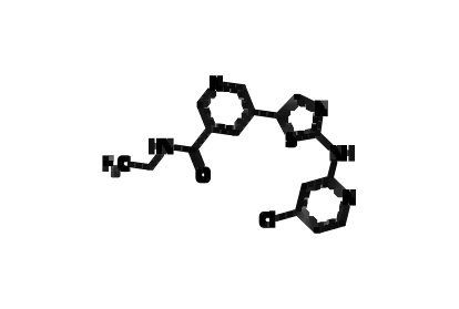 O=C(NCC(F)(F)F)c1cncc(-c2cnc(Nc3cc(Cl)ccn3)s2)c1